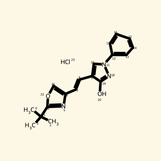 CC(C)(C)c1nc(/C=C/c2cn(-c3ccccc3)nc2O)co1.Cl